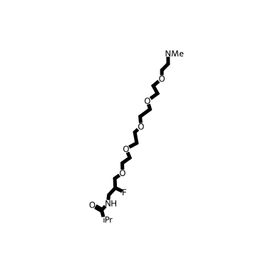 CNCCOCCOCCOCCOCCOCC(F)CNC(=O)C(C)C